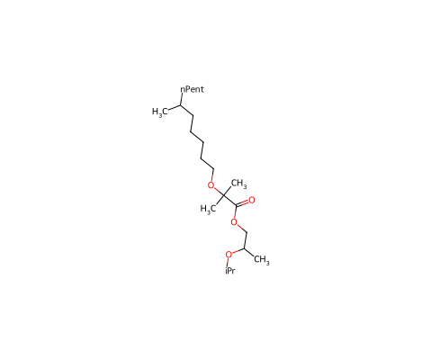 CCCCCC(C)CCCCCOC(C)(C)C(=O)OCC(C)OC(C)C